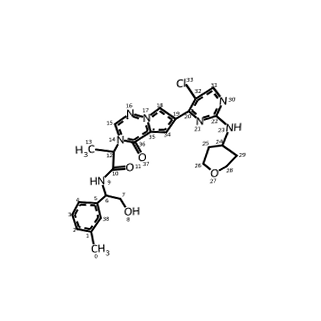 Cc1cccc(C(CO)NC(=O)C(C)n2cnn3cc(-c4nc(NC5CCOCC5)ncc4Cl)cc3c2=O)c1